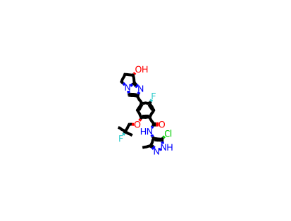 Cc1n[nH]c(Cl)c1NC(=O)c1cc(F)c(-c2cn3c(n2)C(O)CC3)cc1OCC(C)(C)F